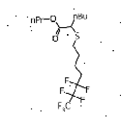 CCCCC(SCCCCC(F)(F)C(F)(F)C(F)(F)F)C(=O)OCCC